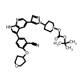 CC(C)(C)OC(=O)ON1CCC(n2cc(-c3cnc4[nH]cc(-c5ccc(OC6CCOCC6)c(C#N)c5)c4c3)cn2)CC1